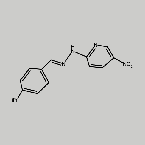 CC(C)c1ccc(C=NNc2ccc([N+](=O)[O-])cn2)cc1